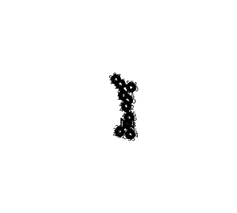 c1ccc(-c2cc3ccccc3cc2-c2ccc3c(ccc4cc(-c5ccc6nc(-c7ccccc7)c(-c7ccccc7)nc6c5)ccc43)c2)cc1